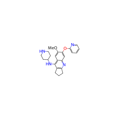 COc1cc2c(NC3CCNCC3)c3c(nc2cc1Oc1ccccn1)CCC3